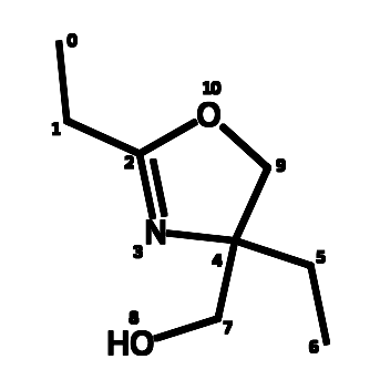 CCC1=NC(CC)(CO)CO1